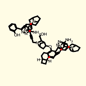 Nc1nnc(-c2ccccc2O)cc1N1CC2CCC(C1)N2c1ccnc(C#CCN2C3CC(Oc4ccccc4-c4cc(N5CC6CCC(C5)N6c5ccnc(C#CCN6CCC[C@@H]7CC[C@@H]76)c5)c(N)nn4)C(C3)C2CO)c1